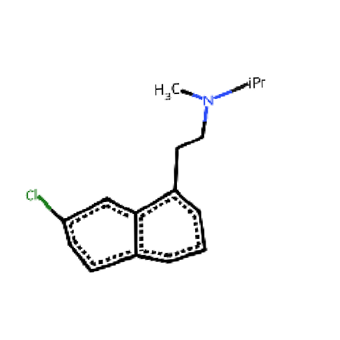 CC(C)N(C)CCc1cccc2ccc(Cl)cc12